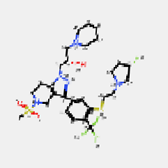 CS(=O)(=O)N1CCc2c(c(-c3ccc(C(F)(F)F)c(SCCN4CC[C@H](F)C4)c3)nn2C[C@@H](O)CN2CCCCC2)C1